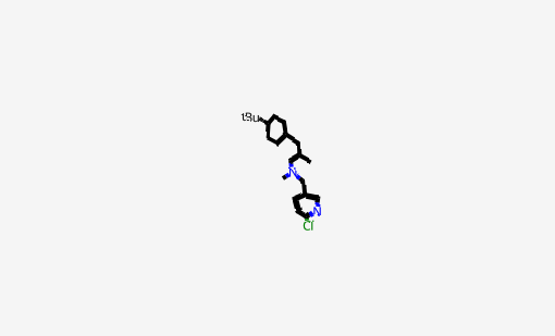 CC(CC1CCC(C(C)(C)C)CC1)CN(C)Cc1ccc(Cl)nc1